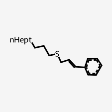 CCCCCCCCCCSC/C=C/c1ccccc1